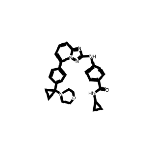 O=C(NC1CC1)c1ccc(Nc2nc3cccc(-c4ccc(C5(N6CCOCC6)CC5)cc4)n3n2)cc1